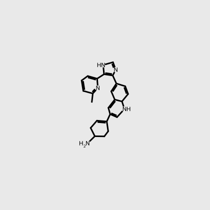 Cc1cccc(-c2[nH]cnc2C2=CC3=CC(C4=CCC(N)CC4)=CNC3C=C2)n1